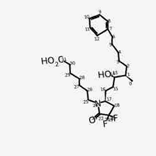 C[C@H](CCCCCc1ccccc1)[C@H](O)CC[C@H]1CC(F)(F)C(=O)N1CCCCCCC(=O)O